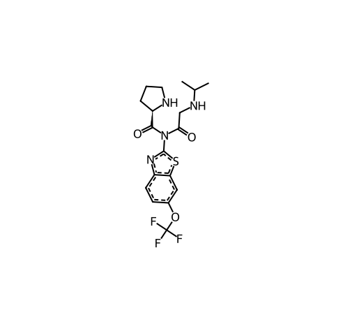 CC(C)NCC(=O)N(C(=O)[C@H]1CCCN1)c1nc2ccc(OC(F)(F)F)cc2s1